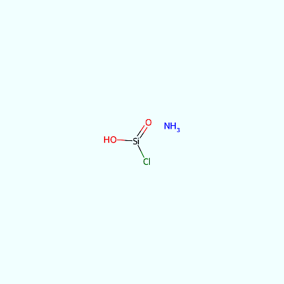 N.O=[Si](O)Cl